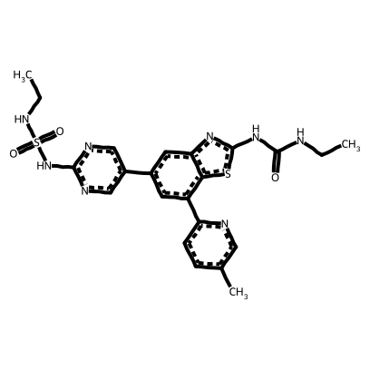 CCNC(=O)Nc1nc2cc(-c3cnc(NS(=O)(=O)NCC)nc3)cc(-c3ccc(C)cn3)c2s1